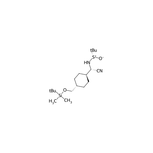 CC(C)(C)[S@+]([O-])N[C@H](C#N)[C@H]1CC[C@H](CO[Si](C)(C)C(C)(C)C)CC1